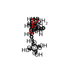 CC(C)CC(CC(C)C)NC(=O)[C@H](Cc1cnc[nH]1)NC(=O)CNC(=O)[C@@H](NC(=O)[C@@H](C)NC(=O)[C@H](CC1=CNC2C=CC=CC12)NC(=O)[C@@H](CCC(N)=O)NC(=O)[C@H](Cc1ccccc1)NC(=O)COCC(=O)Nc1ccc(CNC(=O)CN2CCN(CC(=O)O)CCN(CC(=O)O)CCN(CC(=O)O)CC2)cc1)C(C)C